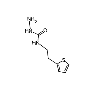 NNC(=O)NCCc1cccs1